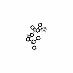 CC1(C)c2ccccc2-c2c1ccc1c2c2ccccc2n1-c1ccc2c(c1)oc1cccc(-c3nc(-c4ccccc4)nc(-c4ccccc4)n3)c12